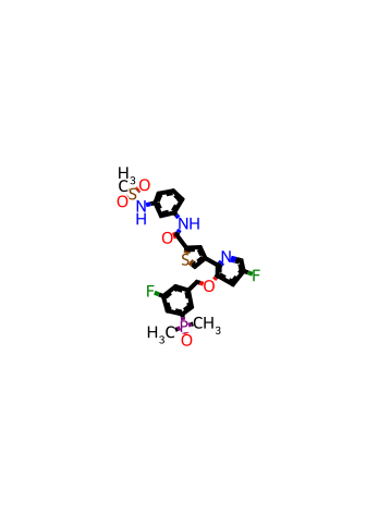 CP(C)(=O)c1cc(F)cc(COc2cc(F)cnc2-c2csc(C(=O)Nc3cccc(NS(C)(=O)=O)c3)c2)c1